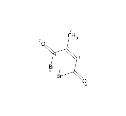 C/C(=C/C(=O)Br)C(=O)Br